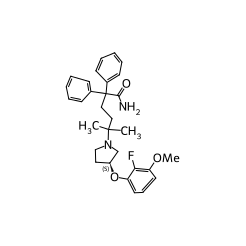 COc1cccc(O[C@H]2CCN(C(C)(C)CCC(C(N)=O)(c3ccccc3)c3ccccc3)C2)c1F